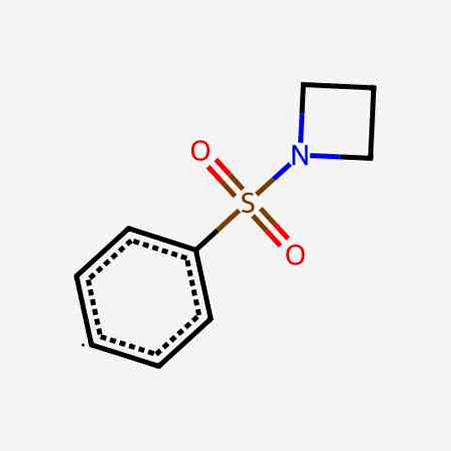 O=S(=O)(c1cc[c]cc1)N1CCC1